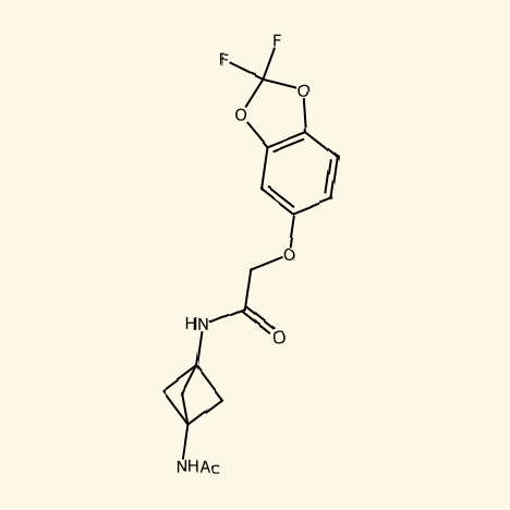 CC(=O)NC12CC(NC(=O)COc3ccc4c(c3)OC(F)(F)O4)(C1)C2